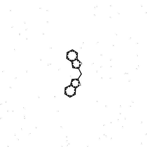 c1ccc2sc(Cc3cc4ccccc4s3)cc2c1